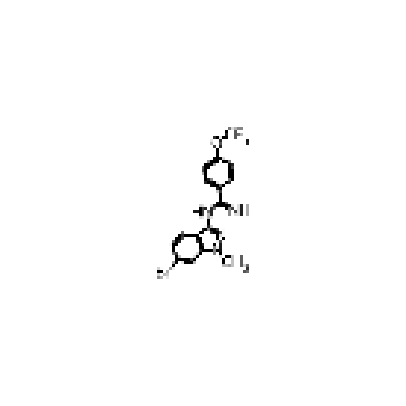 Cn1nc(NC(=N)c2ccc(OC(F)(F)F)cc2)c2ccc(Br)cc21